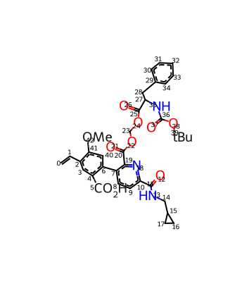 C=Cc1cc(C(=O)O)c(-c2ccc(C(=O)NCC3CC3)nc2C(=O)OCOC(=O)C(Cc2ccccc2)NC(=O)OC(C)(C)C)cc1OC